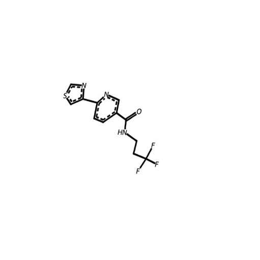 O=C(NCCC(F)(F)F)c1ccc(-c2cscn2)nc1